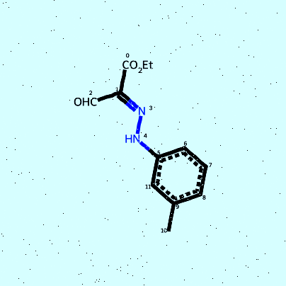 CCOC(=O)/C(C=O)=N/Nc1cccc(C)c1